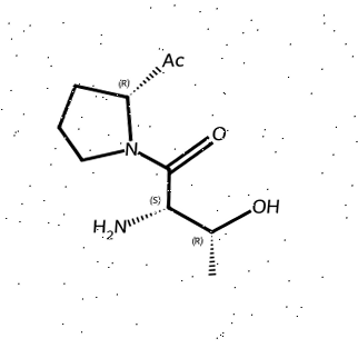 CC(=O)[C@H]1CCCN1C(=O)[C@@H](N)[C@@H](C)O